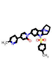 Cc1ccc(S(=O)(=O)n2c3c(c4ccc(-n5ccc(-c6ccc(C)nc6)cc5=O)cc42)C2CCC(C3)N2)cc1